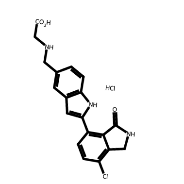 Cl.O=C(O)CNCc1ccc2[nH]c(-c3ccc(Cl)c4c3C(=O)NC4)cc2c1